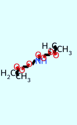 C=C(C)C(=O)OCCOCCNC(=O)OCCOC(=O)C(=C)C